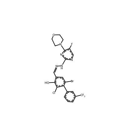 Oc1c(/C=N\Nc2ncc(F)c(N3CCOCC3)n2)cc(Br)c(-c2cccc(C(F)(F)F)c2)c1Cl